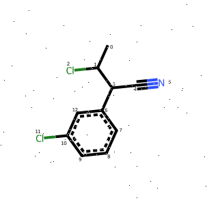 CC(Cl)C(C#N)c1cccc(Cl)c1